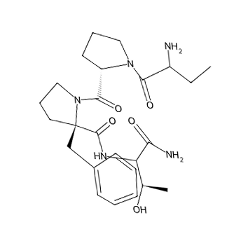 CCC(N)C(=O)N1CCC[C@H]1C(=O)N1CCC[C@@]1(Cc1ccccc1)C(=O)NC(C(N)=O)[C@@H](C)O